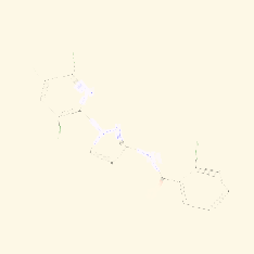 O=C(Nc1ccn(-c2nc(F)c(F)cc2F)n1)c1ccccc1Br